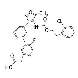 Cc1onc(-c2cccc(-c3cc(CC(=O)O)ccc3F)c2)c1NC(=O)OCCc1ccccc1Cl